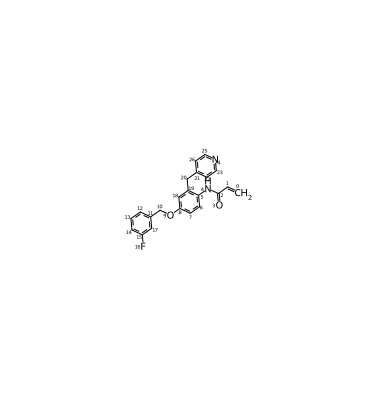 C=CC(=O)Nc1ccc(OCc2cccc(F)c2)cc1Cc1ccncc1